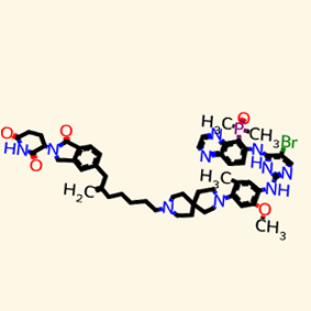 C=C(CCCCCN1CCC2(CC1)CCN(c1cc(OC)c(Nc3ncc(Br)c(Nc4ccc5nccnc5c4P(C)(C)=O)n3)cc1C)CC2)Cc1ccc2c(c1)CN(C1CCC(=O)NC1=O)C2=O